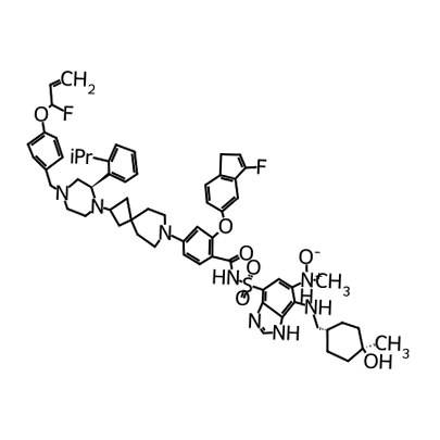 C=CC(F)Oc1ccc(CN2CCN(C3CC4(CCN(c5ccc(C(=O)NS(=O)(=O)c6cc([NH+](C)[O-])c(NC[C@H]7CC[C@](C)(O)CC7)c7[nH]cnc67)c(Oc6ccc7c(c6)C(F)=CC7)c5)CC4)C3)[C@H](c3ccccc3C(C)C)C2)cc1